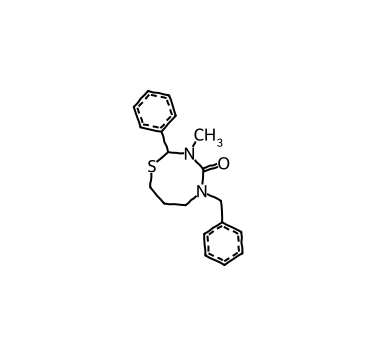 CN1C(=O)N(Cc2ccccc2)CCCSC1c1ccccc1